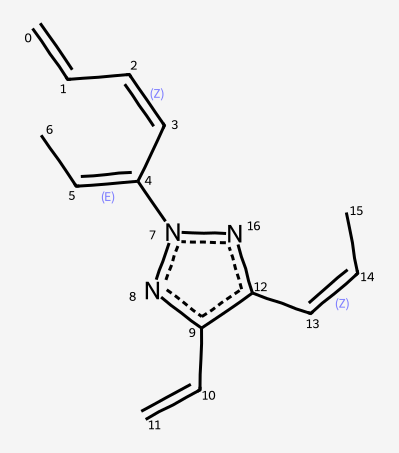 C=C/C=C\C(=C/C)n1nc(C=C)c(/C=C\C)n1